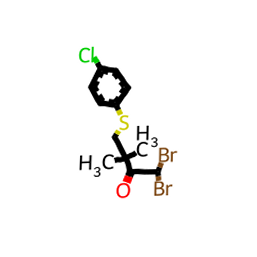 CC(C)(CSc1ccc(Cl)cc1)C(=O)C(Br)Br